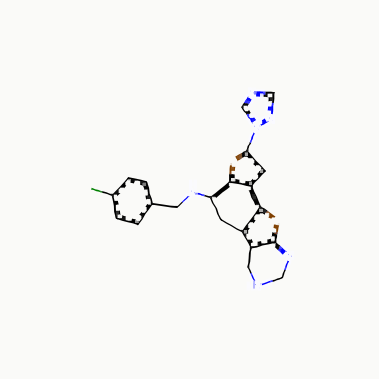 Fc1ccc(CNC2=c3sc(-n4cncn4)cc3=c3sc4c(c3C2)CNCN=4)cc1